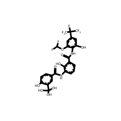 O=C(Nc1cccc(C(=O)Nc2c(O)cc(C(F)(C(F)(F)F)C(F)(F)F)cc2OC(F)F)c1O)c1ccc(O)c(C(O)(O)O)c1